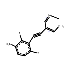 C/N=C\C(C#Cc1c(F)ccc(N)c1F)=C/N